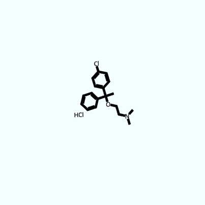 CN(C)CCOC(C)(c1ccccc1)c1ccc(Cl)cc1.Cl